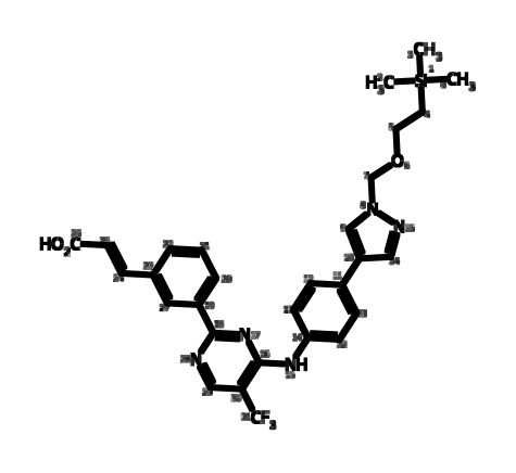 C[Si](C)(C)CCOCn1cc(-c2ccc(Nc3nc(-c4cccc(/C=C/C(=O)O)c4)ncc3C(F)(F)F)cc2)cn1